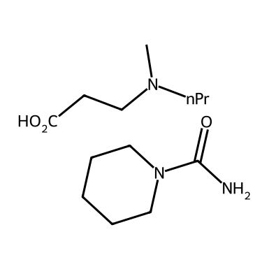 CCCN(C)CCC(=O)O.NC(=O)N1CCCCC1